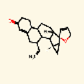 C=CC1CC2=CC(=O)CCC2C2CCC3(CC)C(C12)[C@@H]1CC1[C@@]31C=CCO1